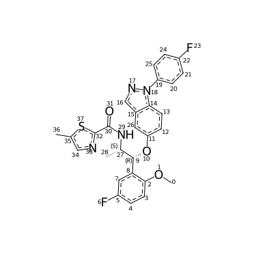 COc1ccc(F)cc1[C@@H](Oc1ccc2c(cnn2-c2ccc(F)cc2)c1)[C@H](C)NC(=O)c1ncc(C)s1